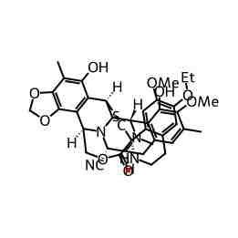 CCOc1cc2c(cc1OC)[C@@]1(CS[C@@H]3c4c(O)c(C)c5c(c4[C@H](COC1=O)N1C3[C@@H]3c4c(cc(C)c(OC)c4O)C[C@@H]([C@@H]1C#N)N3C)OCO5)NCC2